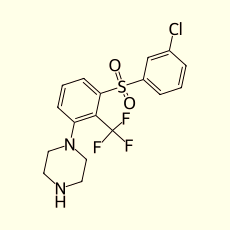 O=S(=O)(c1cccc(Cl)c1)c1cccc(N2CCNCC2)c1C(F)(F)F